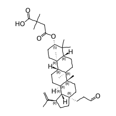 C=C(C)[C@@H]1CC[C@]2(CCC=O)CC[C@]3(C)[C@H](CC[C@@H]4[C@@]5(C)CC[C@H](OC(=O)CC(C)(C)C(=O)O)C(C)(C)[C@@H]5CC[C@]43C)[C@@H]12